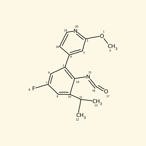 COc1cc(-c2cc(F)cc(C(C)C)c2N=C=O)ccn1